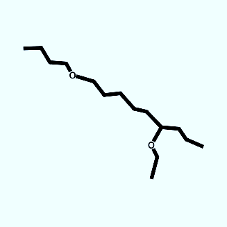 CCCCOCCCCC[C](CCC)OCC